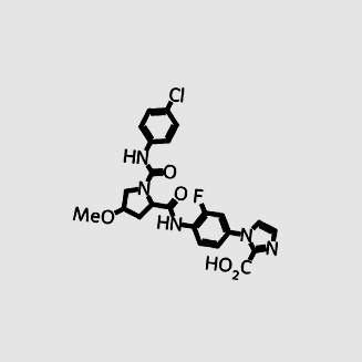 COC1CC(C(=O)Nc2ccc(-n3ccnc3C(=O)O)cc2F)N(C(=O)Nc2ccc(Cl)cc2)C1